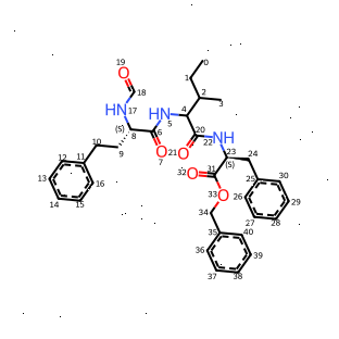 CCC(C)C(NC(=O)[C@H](CCc1ccccc1)NC=O)C(=O)N[C@@H](Cc1ccccc1)C(=O)OCc1ccccc1